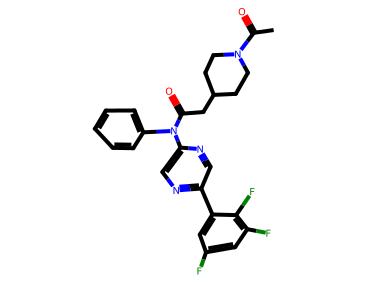 CC(=O)N1CCC(CC(=O)N(c2ccccc2)c2cnc(-c3cc(F)cc(F)c3F)cn2)CC1